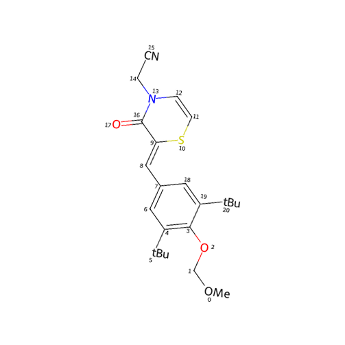 COCOc1c(C(C)(C)C)cc(C=C2SC=CN(CC#N)C2=O)cc1C(C)(C)C